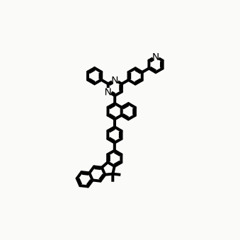 CC1(C)c2ccc(-c3ccc(-c4ccc(-c5cc(-c6ccc(-c7cccnc7)cc6)nc(-c6ccccc6)n5)c5ccccc45)cc3)cc2-c2cc3ccccc3cc21